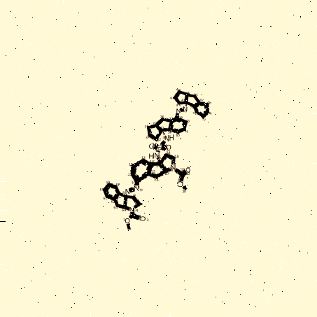 COC(=O)N1CC[C@]2(/N=N/c3cccc4c3CC3N(C(=O)OC)CC[C@@]43NS(=O)(=O)N[C@]34CCCC3Cc3c(/N=N/[C@]56CCCC5Cc5ccccc56)cccc34)c3ccccc3CC12